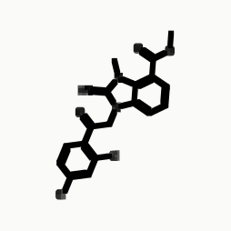 COC(=O)c1cccc2c1n(C)c(=N)n2CC(=O)c1ccc(Cl)cc1Cl